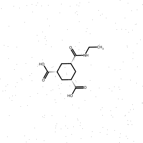 CCNC(=O)[C@@H]1C[C@H](C(=O)O)C[C@H](C(=O)O)C1